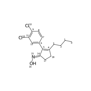 CCCCC1=C(c2ccc(Cl)c(Cl)c2)C(=NO)CC1